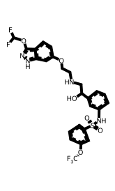 O=S(=O)(Nc1cccc(C(O)CNCCOc2ccc3c(OC(F)F)n[nH]c3c2)c1)c1cccc(OC(F)(F)F)c1